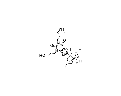 CCCCn1c(=O)c2[nH]c([C@]34C[C@H]5C[C@H]3C[C@H](C4)[C@H]5C)nc2n(CCCO)c1=O